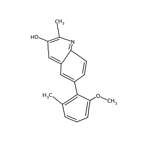 COc1cccc(C)c1-c1ccc2nc(C)c(O)cc2c1